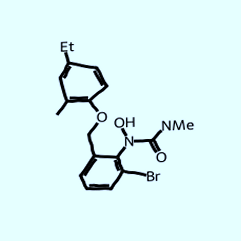 CCc1ccc(OCc2cccc(Br)c2N(O)C(=O)NC)c(C)c1